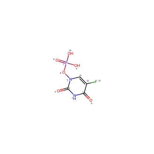 O=c1[nH]c(=O)n(OP(=O)(O)O)cc1F